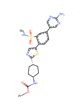 CC(C)OC(=O)N[C@H]1CC[C@H](c2ncc(-c3ccc(-c4cnc(N)nc4)cc3S(=O)(=O)NC(C)(C)C)s2)CC1